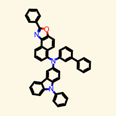 c1ccc(-c2cccc(N(c3ccc4c(c3)c3ccccc3n4-c3ccccc3)c3cccc4c3ccc3oc(-c5ccccc5)nc34)c2)cc1